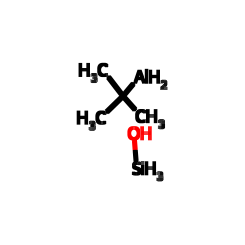 C[C](C)(C)[AlH2].O[SiH3]